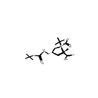 CC(C)(C)OC(=O)NC[C@H]1C[C@@](C)(C(=O)O)[N+](C(=O)[O-])(C(C)(C)C)C1